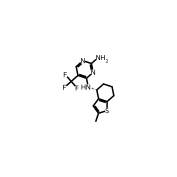 Cc1cc2c(s1)CCC[C@H]2Nc1nc(N)ncc1C(F)(F)F